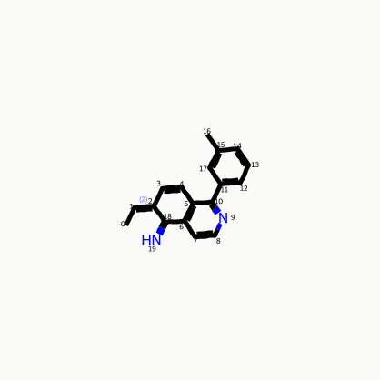 C/C=C1/C=Cc2c(ccnc2-c2cccc(C)c2)C1=N